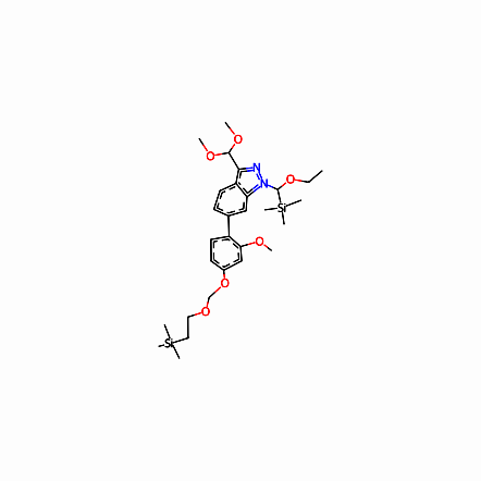 CCOC(n1nc(C(OC)OC)c2ccc(-c3ccc(OCOCC[Si](C)(C)C)cc3OC)cc21)[Si](C)(C)C